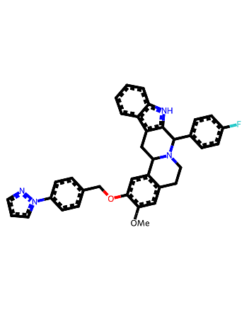 COc1cc2c(cc1OCc1ccc(-n3cccn3)cc1)C1Cc3c([nH]c4ccccc34)C(c3ccc(F)cc3)N1CC2